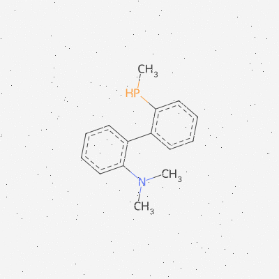 CPc1ccccc1-c1ccccc1N(C)C